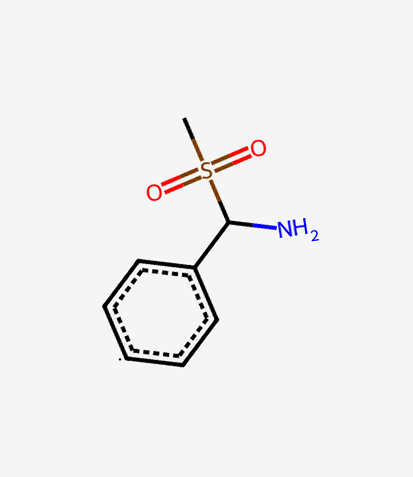 CS(=O)(=O)C(N)c1cc[c]cc1